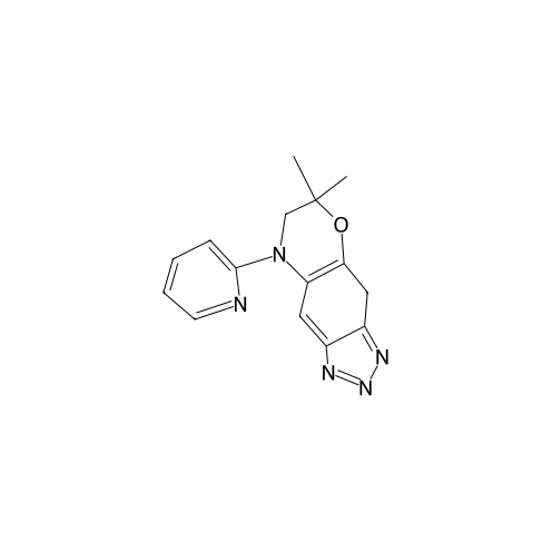 CC1(C)CN(c2ccccn2)C2=C(CC3=NN=NC3=C2)O1